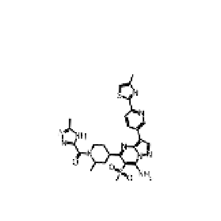 Cc1csc(-c2ccc(-c3cnn4c(N)c(S(C)(=O)=O)c(C5CCN(C(=O)c6nnc(C)[nH]6)C(C)C5)nc34)cn2)n1